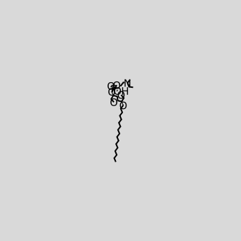 CCCCCCCCCCCCCCCCO[C@@H]1COC2C1OC[C@H]2OP(=O)(O)OCCN(C)CC